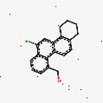 [O]Cc1cccc2c(Br)cc3c4c(ccc3c12)CCCC4